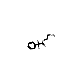 CCCOC(=O)C(Cl)(Cl)c1ccccc1